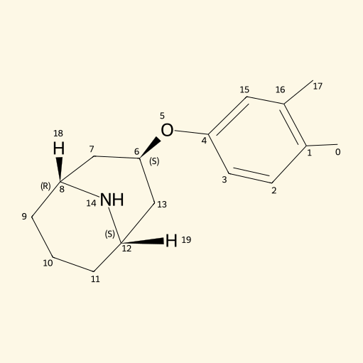 Cc1ccc(O[C@@H]2C[C@H]3CCC[C@@H](C2)N3)cc1C